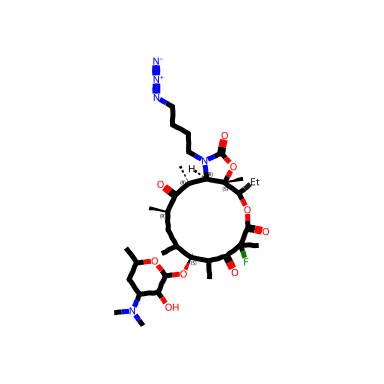 CCC1OC(=O)C(C)(F)C(=O)C(C)[C@@H](OC2OC(C)CC(N(C)C)C2O)C(C)C[C@@H](C)C(=O)[C@H](C)[C@H]2N(CCCCN=[N+]=[N-])C(=O)O[C@]12C